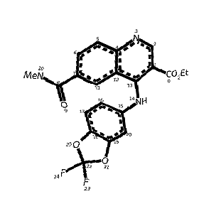 CCOC(=O)c1cnc2ccc(C(=O)NC)cc2c1Nc1ccc2c(c1)OC(F)(F)O2